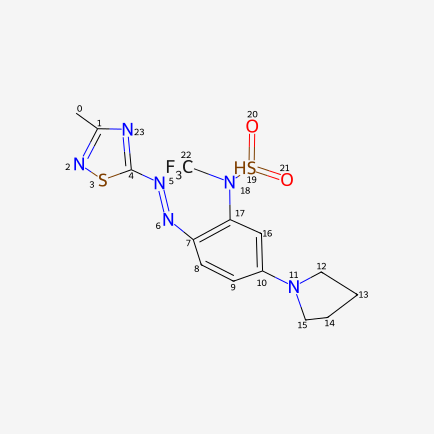 Cc1nsc(N=Nc2ccc(N3CCCC3)cc2N([SH](=O)=O)C(F)(F)F)n1